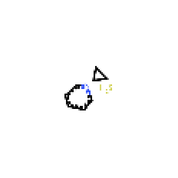 C1CC1.S.c1ccncc1